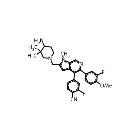 COc1ccc(-c2ncc3c(cc(CN4CCC(N)C(C)(C)C4)n3C)c2-c2ccc(C#N)c(F)c2)cc1F